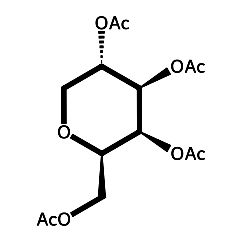 CC(=O)OC[C@H]1OC[C@H](OC(C)=O)[C@@H](OC(C)=O)[C@H]1OC(C)=O